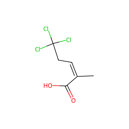 CC(=CCC(Cl)(Cl)Cl)C(=O)O